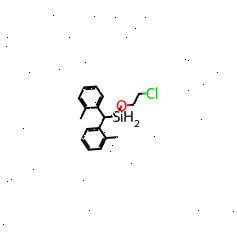 Cc1ccccc1C([SiH2]OCCCl)c1ccccc1C